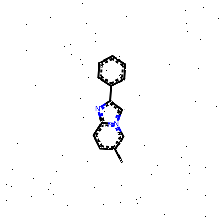 Cc1ccc2nc(-c3ccccc3)[c]n2c1